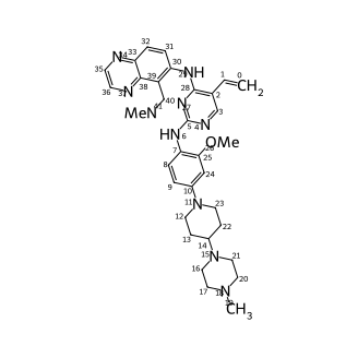 C=Cc1cnc(Nc2ccc(N3CCC(N4CCN(C)CC4)CC3)cc2OC)nc1Nc1ccc2nccnc2c1CNC